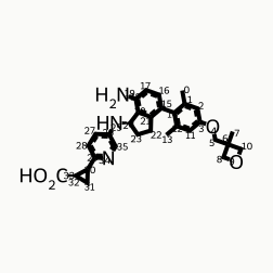 Cc1cc(OCC2(C)COC2)cc(C)c1-c1ccc(N)c2c1CC[C@H]2Nc1ccc(C2C[C@H]2C(=O)O)nc1